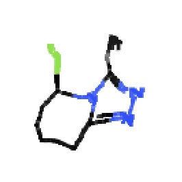 CC(C)c1nnc2n1[C@H](F)CCC2